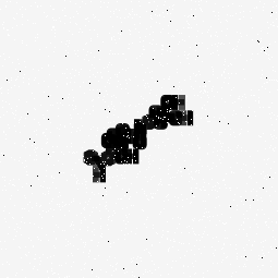 COc1cc(/N=N/c2c(S(=O)(=O)O)cc3cc(Nc4ccccc4)ccc3c2O)c(OC)cc1/N=N/c1ccc(S(=O)(=O)N(CCO)CCO)cc1